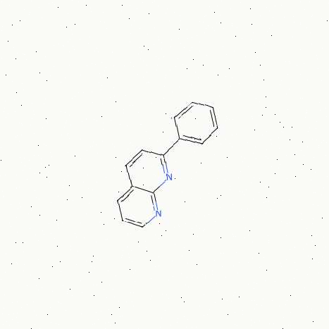 [c]1ccccc1-c1ccc2cccnc2n1